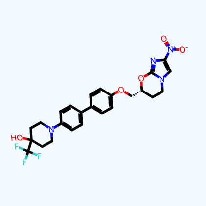 O=[N+]([O-])c1cn2c(n1)O[C@@H](COc1ccc(-c3ccc(N4CCC(O)(C(F)(F)F)CC4)cc3)cc1)CC2